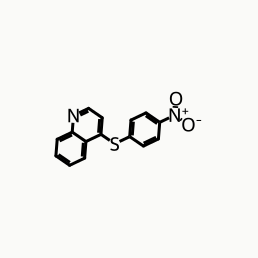 O=[N+]([O-])c1ccc(Sc2ccnc3ccccc23)cc1